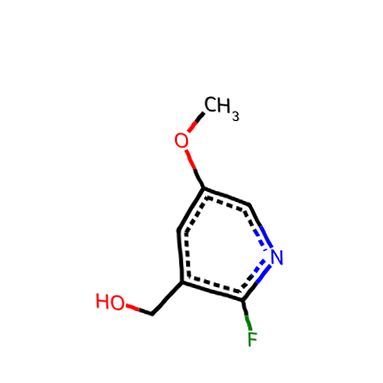 COc1cnc(F)c(CO)c1